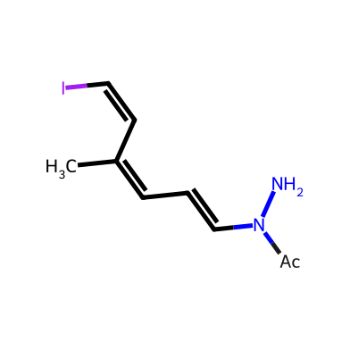 CC(=O)N(N)/C=C/C=C(C)\C=C/I